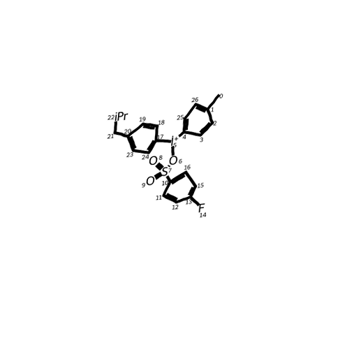 Cc1ccc([I+](OS(=O)(=O)c2ccc(F)cc2)c2ccc(CC(C)C)cc2)cc1